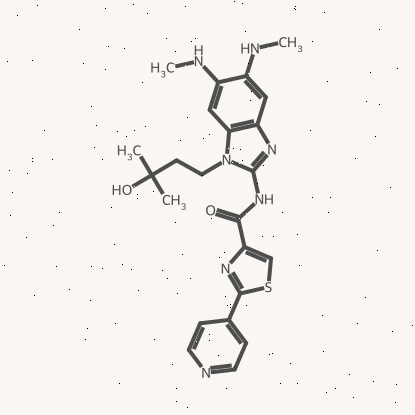 CNc1cc2nc(NC(=O)c3csc(-c4ccncc4)n3)n(CCC(C)(C)O)c2cc1NC